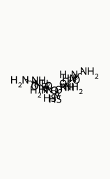 NCCCC[C@H](N)C(=O)NCCCC[C@H](N)C(=O)NCCOc1cc(CS)c(CS)cc1OCCNC(=O)[C@@H](N)CCCCNC(=O)[C@@H](N)CCCCN